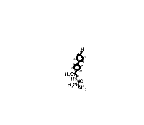 CC(CNC(=O)N(C)C)c1ccc(-c2ccc(C#N)cc2)cc1